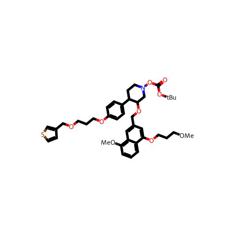 COCCCOc1cc(COC2CN(OC(=O)OC(C)(C)C)CCC2c2ccc(OCCCOCc3ccsc3)cc2)cc2c(OC)cccc12